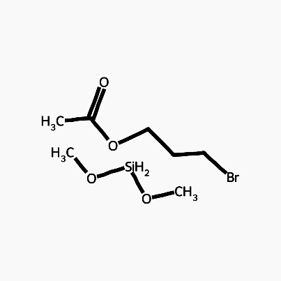 CC(=O)OCCCBr.CO[SiH2]OC